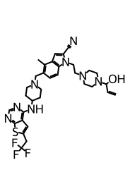 C=CC(O)N1CCN(CCn2c(C#N)cc3c(C)c(CN4CCC(Nc5ncnc6sc(CC(F)(F)F)cc56)CC4)ccc32)CC1